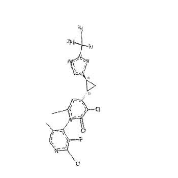 [2H]C([2H])([2H])n1ncc([C@H]2C[C@@H]2c2cc(C)n(-c3c(C)cnc(Cl)c3F)c(=O)c2Cl)n1